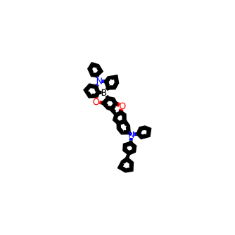 c1ccc(-c2ccc(N(c3ccccc3)c3ccc4cc5c(cc4c3)oc3cc4c(cc35)Oc3cccc5c3B4c3ccccc3N5c3ccccc3)cc2)cc1